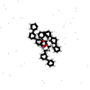 c1ccc(-c2cccc(-c3ccc(-c4nc(-c5cccc(-c6ccccc6)c5)nc(-n5c6ccccc6c6ccc7c8ccccc8n(-c8ccccc8-c8ccccc8)c7c65)n4)cc3)c2)cc1